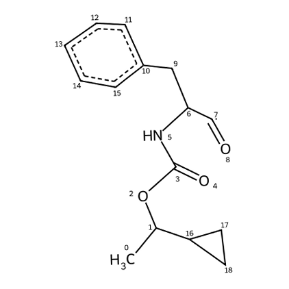 CC(OC(=O)NC([C]=O)Cc1ccccc1)C1CC1